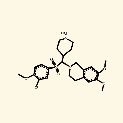 COc1ccc(S(=O)(=O)C(C2CCNCC2)N2CCc3cc(OC)c(OC)cc3C2)cc1Cl.Cl